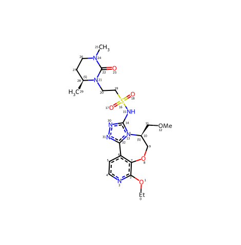 CCOc1nccc2c1OC[C@H](COC)n1c(NS(=O)(=O)CCN3C(=O)N(C)CC[C@@H]3C)nnc1-2